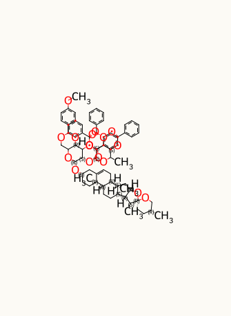 COc1ccc(C2OCC3O[C@@H](O[C@H]4CC[C@@]5(C)C(=CC[C@H]6[C@@H]7C[C@@H]8O[C@]9(CC[C@@H](C)CO9)[C@@H](C)[C@@H]8[C@@]7(C)CC[C@@H]65)C4)[C@@H](O[C@@H]4OC(C)[C@H](OC(=O)c5ccccc5)C(OC(=O)c5ccccc5)[C@@H]4OC(=O)c4ccccc4)C(OC(=O)c4ccccc4)[C@@H]3O2)cc1